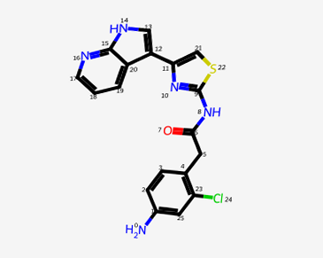 Nc1ccc(CC(=O)Nc2nc(-c3c[nH]c4ncccc34)cs2)c(Cl)c1